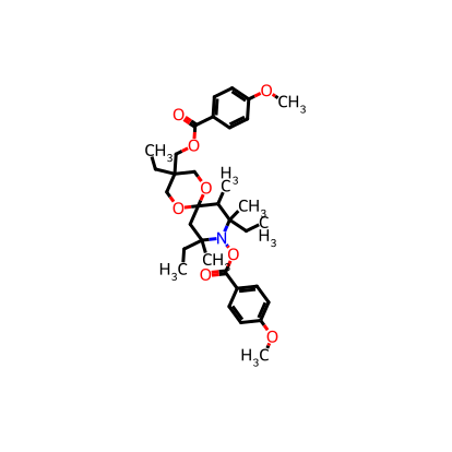 CCC1(COC(=O)c2ccc(OC)cc2)COC2(CC(C)(CC)N(OC(=O)c3ccc(OC)cc3)C(C)(CC)C2C)OC1